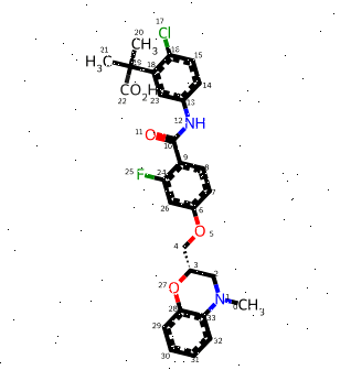 CN1C[C@@H](COc2ccc(C(=O)Nc3ccc(Cl)c(C(C)(C)C(=O)O)c3)c(F)c2)Oc2ccccc21